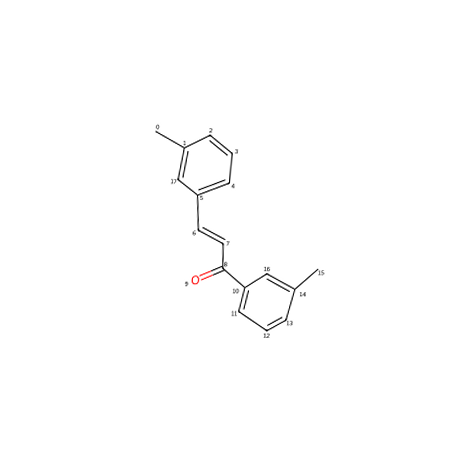 Cc1cccc(/C=C/C(=O)c2cccc(C)c2)c1